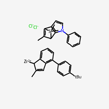 CC1=C2c3ccn(-c4ccccc4)c3C1[Si]2(C)C.CC1=Cc2c(-c3ccc(C(C)(C)C)cc3)cccc2[CH]1[Zr+2].[Cl-].[Cl-]